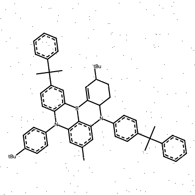 Cc1cc2c3c(c1)N(c1ccc(C(C)(C)c4ccccc4)cc1)C1CCC(C(C)(C)C)C=C1B3c1cc(C(C)(C)c3ccccc3)ccc1N2c1ccc(C(C)(C)C)cc1